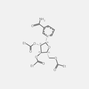 CCC(=O)OC[C@H]1O[C@@H]([n+]2cccc(C(N)=O)c2)[C@@H](OC(=O)CC)[C@@H]1OC(=O)CC